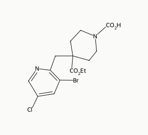 CCOC(=O)C1(Cc2ncc(Cl)cc2Br)CCN(C(=O)O)CC1